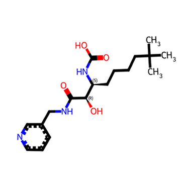 CC(C)(C)CCCC[C@H](NC(=O)O)[C@@H](O)C(=O)NCc1cccnc1